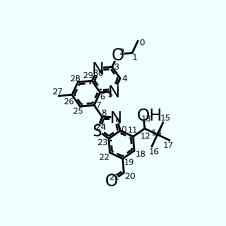 CCOc1cnc2c(-c3nc4c(C(O)C(C)(C)C)cc(C=O)cc4s3)cc(C)cc2n1